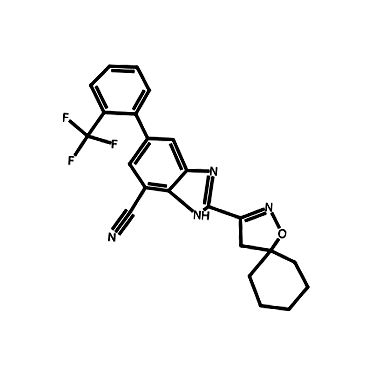 N#Cc1cc(-c2ccccc2C(F)(F)F)cc2nc(C3=NOC4(CCCCC4)C3)[nH]c12